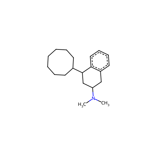 CN(C)C1Cc2ccccc2C(C2CCCCCCC2)C1